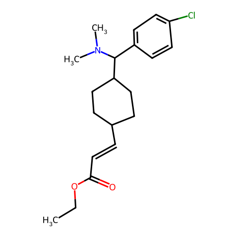 CCOC(=O)/C=C/C1CCC(C(c2ccc(Cl)cc2)N(C)C)CC1